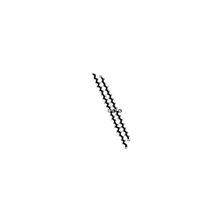 CCCCCCCCCCCCCCCCCCOC(=O)CCCCCCCCCCCCCCCCC.CCCCCCCCCCCCCCCCOC(=O)CCCCCCCCCCCCC